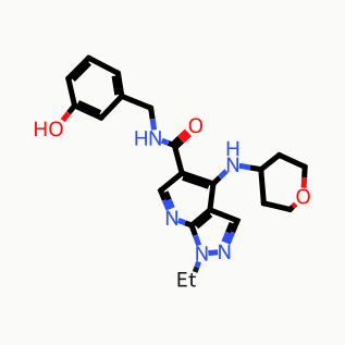 CCn1ncc2c(NC3CCOCC3)c(C(=O)NCc3cccc(O)c3)cnc21